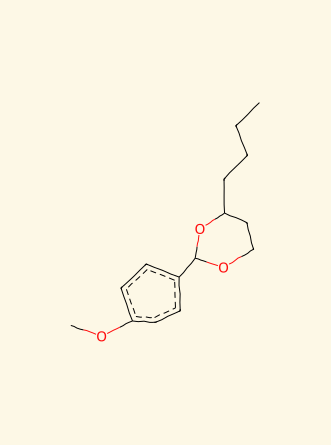 CCCCC1CCOC(c2ccc(OC)cc2)O1